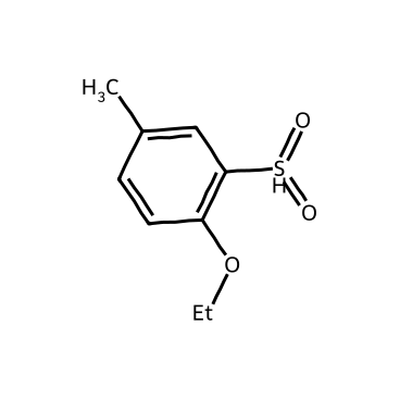 CCOc1ccc(C)cc1[SH](=O)=O